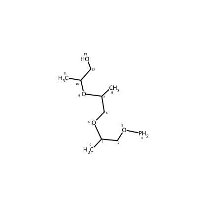 CC(COP)OCC(C)OC(C)CO